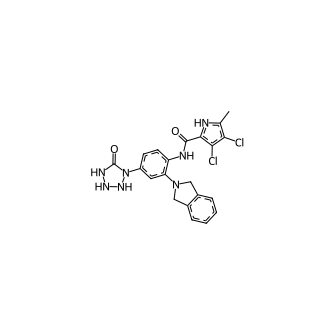 Cc1[nH]c(C(=O)Nc2ccc(N3NNNC3=O)cc2N2Cc3ccccc3C2)c(Cl)c1Cl